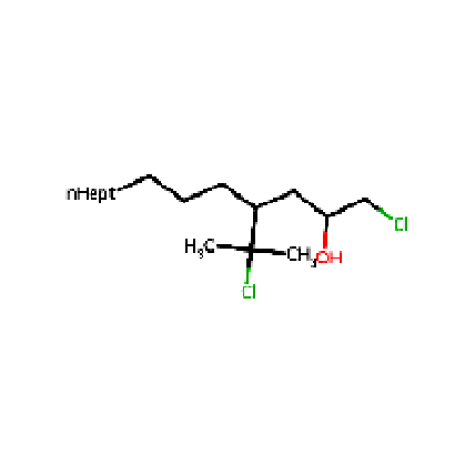 CCCCCCCCCCC(CC(O)CCl)C(C)(C)Cl